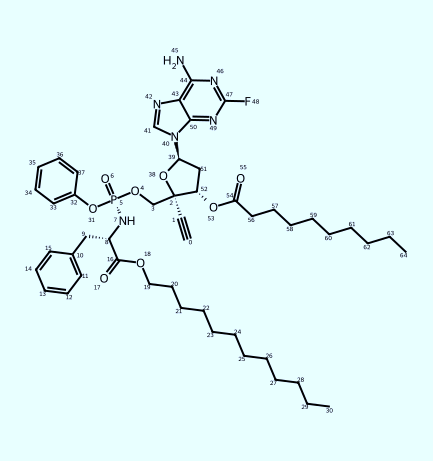 C#C[C@]1(CO[P@@](=O)(N[C@@H](Cc2ccccc2)C(=O)OCCCCCCCCCCCC)Oc2ccccc2)O[C@@H](n2cnc3c(N)nc(F)nc32)C[C@@H]1OC(=O)CCCCCCCCC